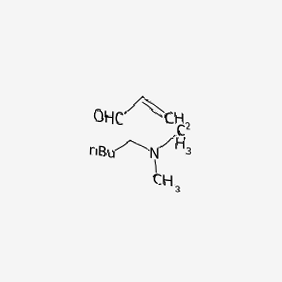 C=CC=O.CCCCCN(C)C